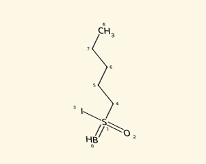 B=S(=O)(I)CCCCC